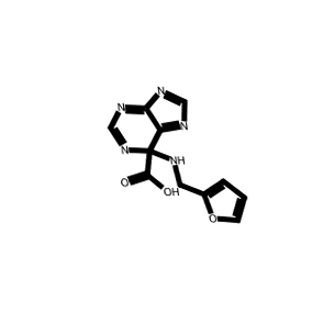 O=C(O)C1(NCc2ccco2)N=CN=C2N=CN=C21